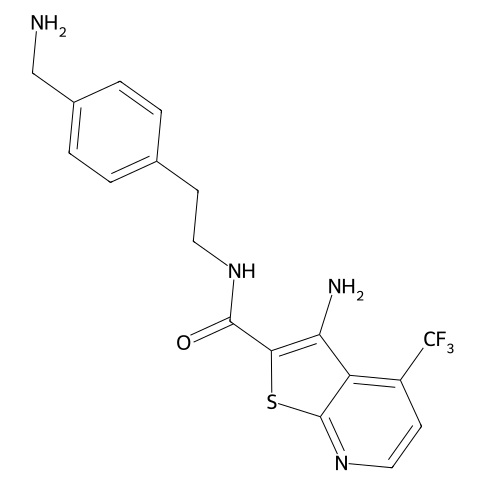 NCc1ccc(CCNC(=O)c2sc3nccc(C(F)(F)F)c3c2N)cc1